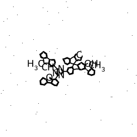 Cc1ccccc1-c1cc2c(cc1O)C1(c3ccccc3-c3ccccc31)c1cc(-c3nc(-c4ccc5c(c4)C(C)(C)c4ccccc4-5)nc(-c4cccc5c4oc4ccccc45)n3)ccc1-2